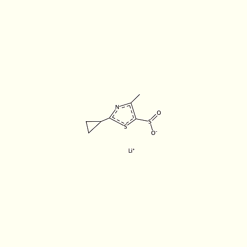 Cc1nc(C2CC2)sc1S(=O)[O-].[Li+]